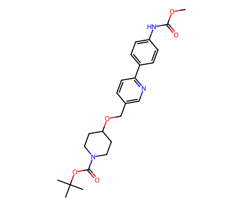 COC(=O)Nc1ccc(-c2ccc(COC3CCN(C(=O)OC(C)(C)C)CC3)cn2)cc1